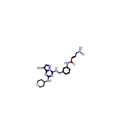 CCN(CC)C/C=C/C(=O)Nc1cccc(CNc2nc(NC3CCOCC3)nc3c(C(C)C)cnn23)c1